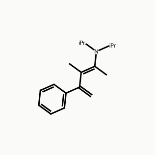 C=C(/C(C)=C(\C)N(C(C)C)C(C)C)c1ccccc1